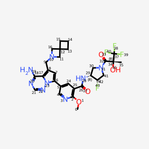 COc1ncc(-c2cc(CN3CC4(CCC4)C3)c3c(N)ncnn23)cc1C(=O)N[C@@H]1CN(C(=O)[C@@](C)(O)C(F)(F)F)C[C@@H]1F